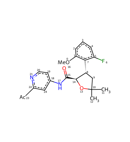 COc1cccc(F)c1[C@@H]1CC(C)(C)O[C@H]1C(=O)Nc1ccnc(C(C)=O)c1